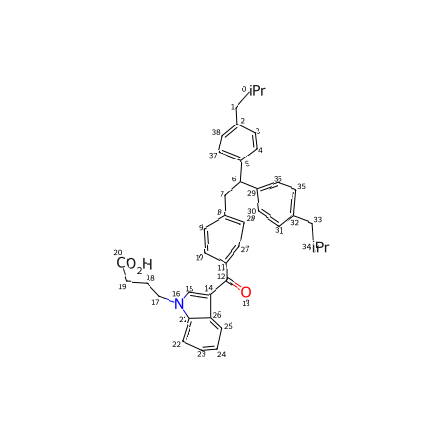 CC(C)Cc1ccc(C(Cc2ccc(C(=O)c3cn(CCCC(=O)O)c4ccccc34)cc2)c2ccc(CC(C)C)cc2)cc1